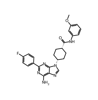 COc1cccc(NC(=O)[C@H]2CC[C@@H](n3cnc4c(N)nc(-c5ccc(F)cc5)nc43)CC2)c1